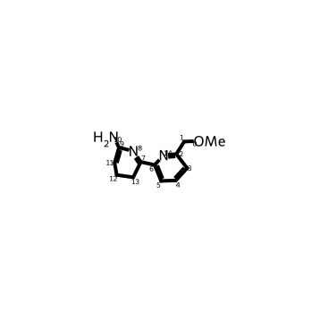 COCc1cccc(C2=NC(N)=CCC2)n1